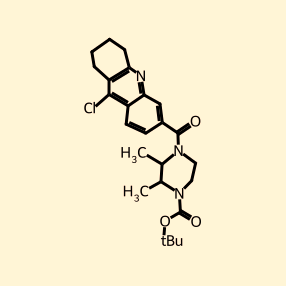 CC1C(C)N(C(=O)c2ccc3c(Cl)c4c(nc3c2)CCCC4)CCN1C(=O)OC(C)(C)C